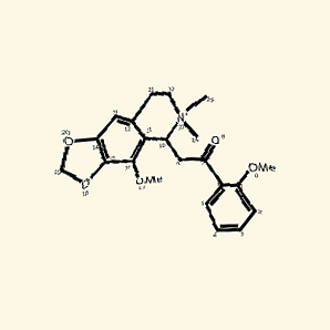 COc1ccccc1C(=O)CC1c2c(cc3c(c2OC)OCO3)CC[N+]1(C)C